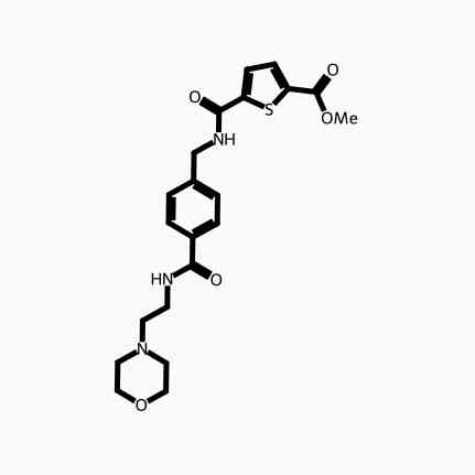 COC(=O)c1ccc(C(=O)NCc2ccc(C(=O)NCCN3CCOCC3)cc2)s1